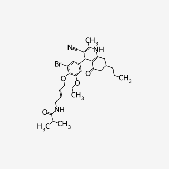 CCCC1CC(=O)C2=C(C1)NC(C)=C(C#N)C2c1cc(Br)c(OCC=CCNC(=O)C(C)C)c(OCC)c1